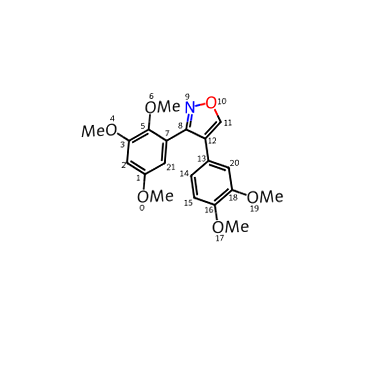 COc1cc(OC)c(OC)c(-c2nocc2-c2ccc(OC)c(OC)c2)c1